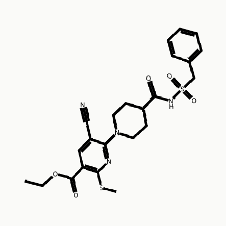 CCOC(=O)c1cc(C#N)c(N2CCC(C(=O)NS(=O)(=O)Cc3ccccc3)CC2)nc1SC